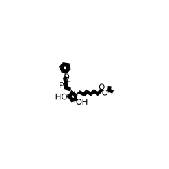 CC(C)OC(=O)CCCC=CC[C@@H]1[C@@H](C=CC(F)(F)COc2ccccc2)[C@H](O)C[C@@H]1O